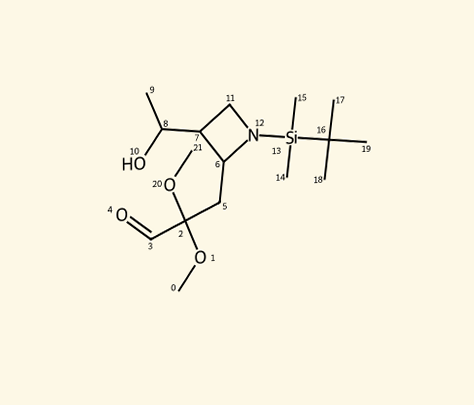 COC(C=O)(CC1C(C(C)O)CN1[Si](C)(C)C(C)(C)C)OC